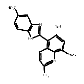 COc1ccc(-c2nc3cc(C(=O)O)ccc3[nH]2)c2ccc(C(F)(F)F)nc12.[NaH]